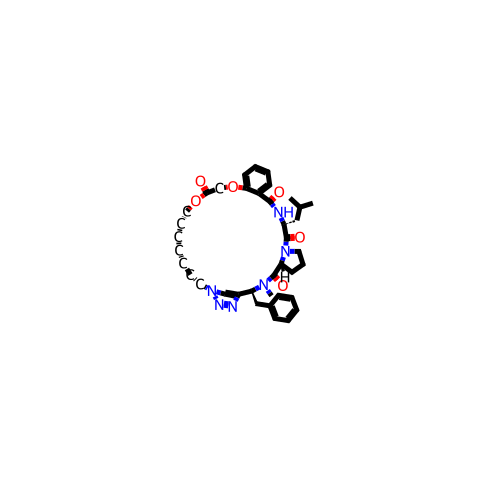 CC(C)C[C@H]1NC(=O)c2ccccc2OCC(=O)OCCCCCCCn2cc(nn2)[C@H](Cc2ccccc2)N(C)C(=O)[C@H]2CCCN2C1=O